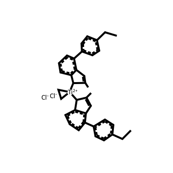 CCc1ccc(-c2cccc3c2C=C(C)[CH]3[Ti+2]2([CH]3C(C)=Cc4c(-c5ccc(CC)cc5)cccc43)[CH2][CH2]2)cc1.[Cl-].[Cl-]